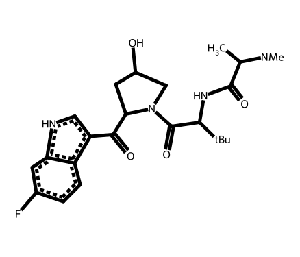 CNC(C)C(=O)NC(C(=O)N1CC(O)CC1C(=O)c1c[nH]c2cc(F)ccc12)C(C)(C)C